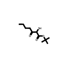 CCCCC(=O)C(S)C(=O)OC(C)(C)C